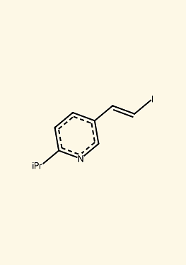 CC(C)c1ccc(/C=C/I)cn1